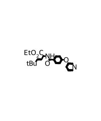 CCOC(=O)C(C=CC(C)(C)C)NC(=O)c1ccc(Oc2cccnc2)cc1